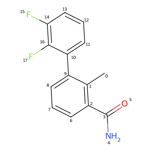 Cc1c(C(N)=O)cccc1-c1cccc(F)c1F